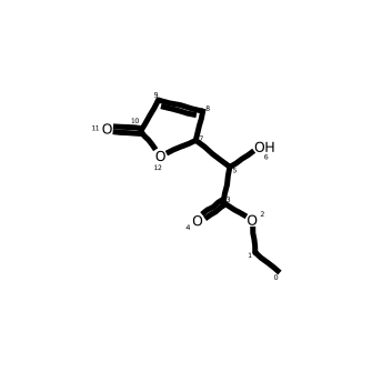 CCOC(=O)C(O)C1C=CC(=O)O1